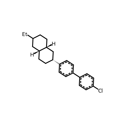 CCC1CC[C@@H]2C[C@H](c3ccc(-c4ccc(Cl)cc4)cc3)CC[C@@H]2C1